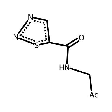 CC(=O)CNC(=O)c1cnns1